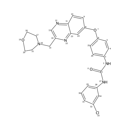 O=C(Nc1ccc(Oc2ccc3ncc(CN4CCOCC4)nc3c2)cc1)Nc1cccc(Cl)c1